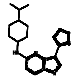 CC(C)C1CCC(Nc2ccc3ncc(-c4cccs4)n3n2)CC1